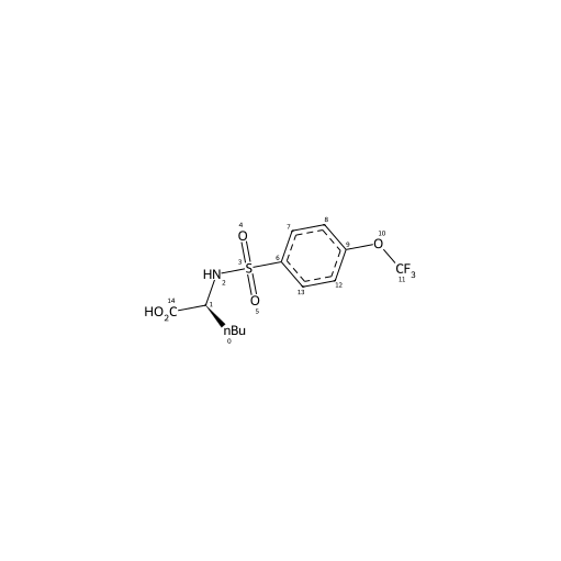 CCCC[C@H](NS(=O)(=O)c1ccc(OC(F)(F)F)cc1)C(=O)O